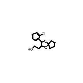 OCCC1OC2(CCCC2)OC1c1ccccc1Cl